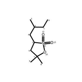 CCC(C)CC1CC(C)(C)OS1(=O)=O